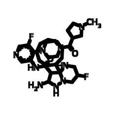 CN1CCC(C(=O)N2CCN(c3c(F)cncc3NC(=O)C3C(N)NN4CC(F)CNC34C3CCCCCCCC3)CC2)C1